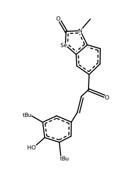 Cn1c(=O)[se]c2cc(C(=O)/C=C/c3cc(C(C)(C)C)c(O)c(C(C)(C)C)c3)ccc21